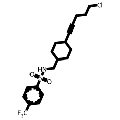 O=S(=O)(NCC1CCC(C#CCCCCl)CC1)c1ccc(C(F)(F)F)cc1